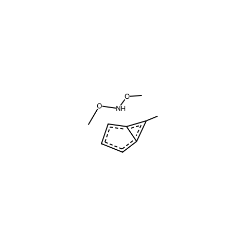 CONOC.Cc1c2cccc1-2